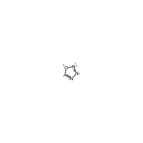 C1=NN=[N+]O1